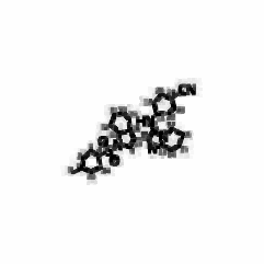 Cc1ccc(S(=O)(=O)n2cc(-c3nc4ccccn4c3Nc3ccc(C#N)cc3)c3ccccc32)cc1